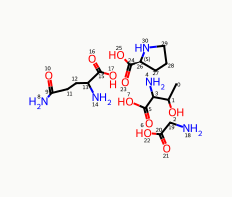 CC(O)C(N)C(=O)O.NC(=O)CCC(N)C(=O)O.NCC(=O)O.O=C(O)[C@@H]1CCCN1